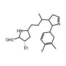 CC[C@H]1CC(CCC(C)C2CC=NC2C2C=CC(F)=C(C)C2)NC1C=O